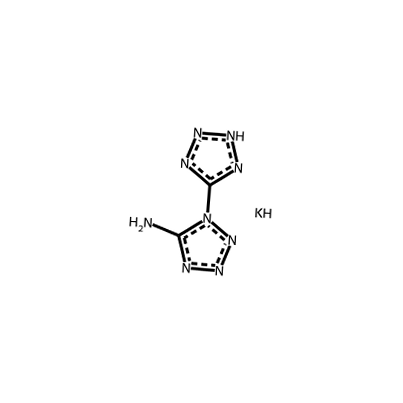 Nc1nnnn1-c1nn[nH]n1.[KH]